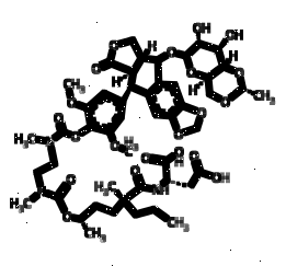 CCC[C@](C)(CC[C@H](C)OC(=O)N(C)CCN(C)C(=O)Oc1c(OC)cc([C@@H]2c3cc4c(cc3C(OC3O[C@@H]5CO[C@@H](C)O[C@H]5[C@H](O)[C@H]3O)[C@H]3COC(=O)[C@H]23)OCO4)cc1OC)C(=O)N[C@@H](CC(=O)O)C(=O)O